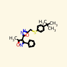 Cc1onc(-c2ccccc2)c1-c1nnc(CSc2ccc(C(C)(C)C)cc2)o1